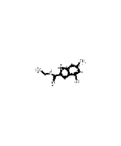 CCOC(=O)c1cc2c(Cl)cc(C)cc2[nH]1